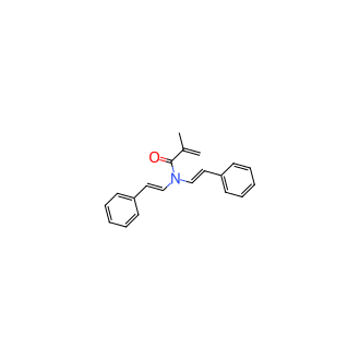 C=C(C)C(=O)N(C=Cc1ccccc1)C=Cc1ccccc1